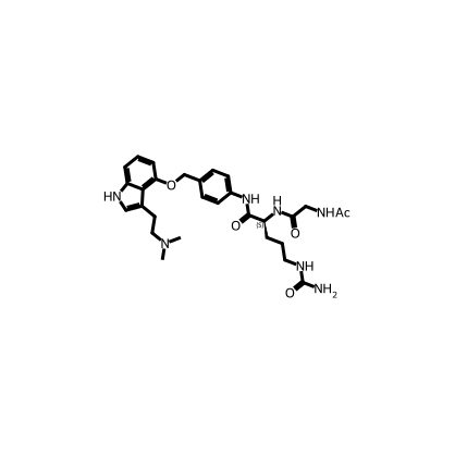 CC(=O)NCC(=O)N[C@@H](CCCNC(N)=O)C(=O)Nc1ccc(COc2cccc3[nH]cc(CCN(C)C)c23)cc1